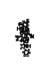 CN(C(=O)[C@@H]1CC[C@@H](c2ccccc2)N1)[C@@H](CC1CC1)C(=O)N1C[C@@]2(C[C@H]1C#N)Oc1cc(F)cc(F)c1NC2=O